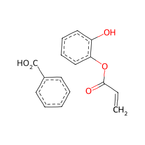 C=CC(=O)Oc1ccccc1O.O=C(O)c1ccccc1